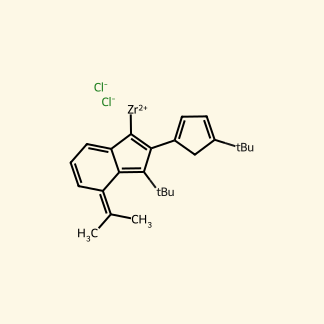 CC(C)=c1cccc2c1=C(C(C)(C)C)C(C1=CC=C(C(C)(C)C)C1)=[C]2[Zr+2].[Cl-].[Cl-]